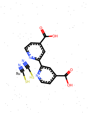 N#CS.N#CS.O=C(O)c1ccnc(-c2cc(C(=O)O)ccn2)c1.[Ru]